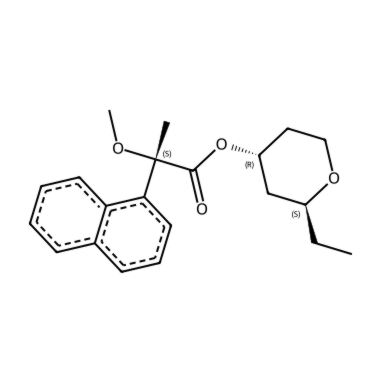 CC[C@H]1C[C@H](OC(=O)[C@@](C)(OC)c2cccc3ccccc23)CCO1